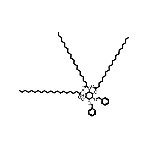 CCCCCCCCCCCCCCCCCCCC(=O)O[C@@H]1[C@@H](OCc2ccccc2)[C@H](OCc2ccccc2)[C@H](O)[C@H](OC(=O)CCCCCCCCCCCCCCCCCCC)[C@H]1OC(=O)CCCCCCCCCCCCCCCCCCC